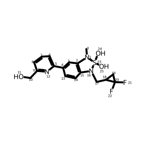 CN1c2cc(-c3cccc(CO)n3)ccc2N(CC2CC2(F)F)S1(O)O